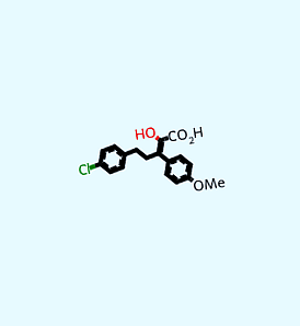 COc1ccc(/C(CCc2ccc(Cl)cc2)=C(/O)C(=O)O)cc1